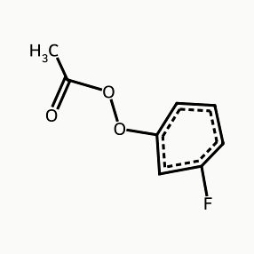 CC(=O)OOc1cccc(F)c1